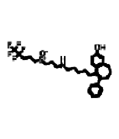 [O-][S+](CCCNCCCCCC1=C(c2ccccc2)CCCc2cc(O)ccc21)CCCC(F)(F)C(F)(F)F